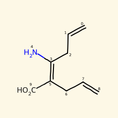 C=CCC(N)=C(CC=C)C(=O)O